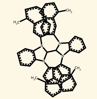 Cc1cccc2ccc(N3c4ccccc4N(c4ccc5cccc(C)c5c4)C3C3N(c4ccc5cccc(C)c5c4)c4ccccc4N3c3ccc4cccc(C)c4c3)cc12